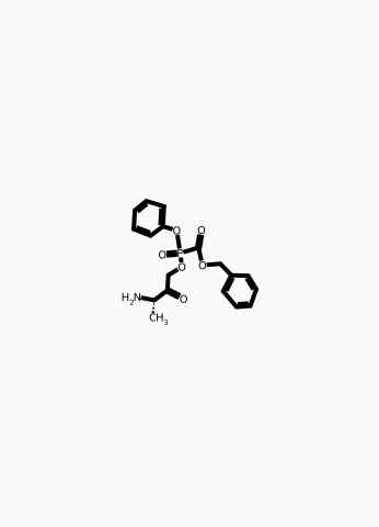 C[C@H](N)C(=O)COP(=O)(Oc1ccccc1)C(=O)OCc1ccccc1